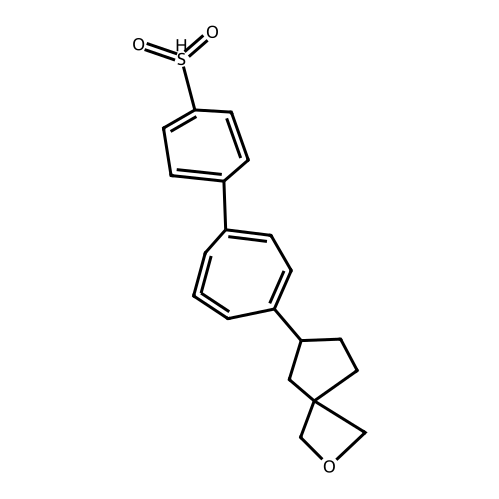 O=[SH](=O)c1ccc(C2=CC=C(C3CCC4(COC4)C3)C=C=C2)cc1